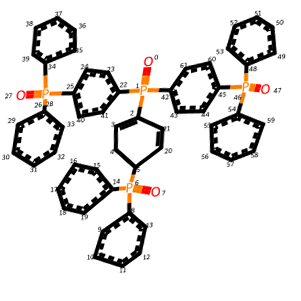 O=P(C1=CCC(P(=O)(c2ccccc2)c2ccccc2)C=C1)(c1ccc(P(=O)(c2ccccc2)c2ccccc2)cc1)c1ccc(P(=O)(c2ccccc2)c2ccccc2)cc1